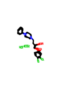 Cl.Cl.OC(CCN1CCN(c2ccccc2)CC1)COc1ccc(Cl)c(Cl)c1